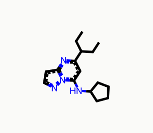 CCC(CC)c1cc(NC2CCCC2)n2nccc2n1